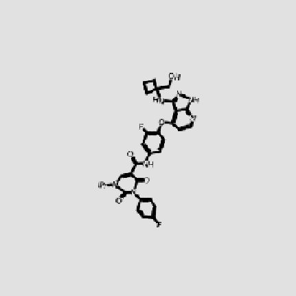 CC(C)n1cc(C(=O)Nc2ccc(Oc3ccnc4[nH]nc(NC5(CO)CCC5)c34)c(F)c2)c(=O)n(-c2ccc(F)cc2)c1=O